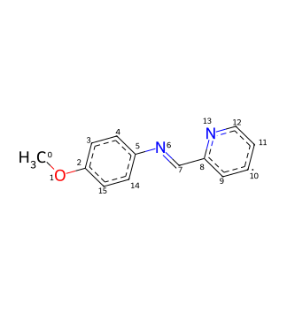 COc1ccc(N=Cc2c[c]ccn2)cc1